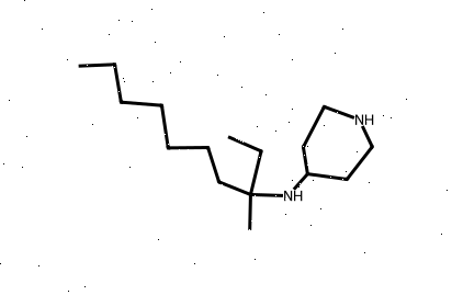 CCCCCCCC(C)(CC)NC1CCNCC1